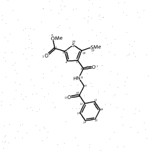 COC(=O)c1cc(C(=O)NCC(=O)c2ccccc2)c(SC)s1